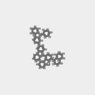 C1=CC2c3cc(-c4ccc5c6ccccc6n(-c6ccccc6)c5c4)ccc3N(c3ccc(-c4cccc5ccccc45)c4oc5ccccc5c34)C2C=C1